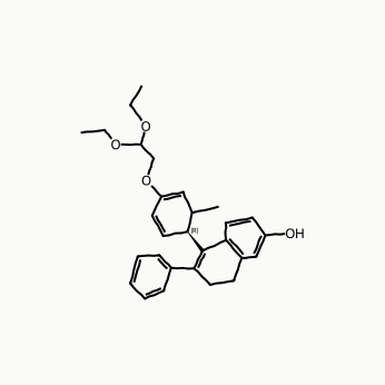 CCOC(COC1=CC(C)[C@@H](C2=C(c3ccccc3)CCc3cc(O)ccc32)C=C1)OCC